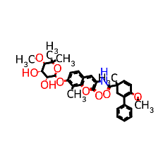 COC1=C(c2ccccc2)CC(C)(C(=O)Nc2cc3ccc(O[C@@H]4OC(C)(C)[C@H](OC)[C@@H](O)[C@H]4O)c(C)c3oc2=O)C=C1